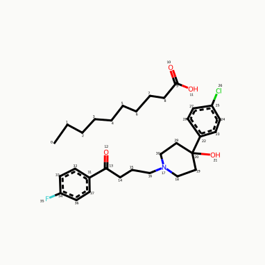 CCCCCCCCCC(=O)O.O=C(CCCN1CCC(O)(c2ccc(Cl)cc2)CC1)c1ccc(F)cc1